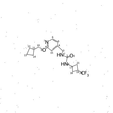 O=C(NCc1ccnc(OCC2CCC2)c1)NC1CC(C(F)(F)F)C1